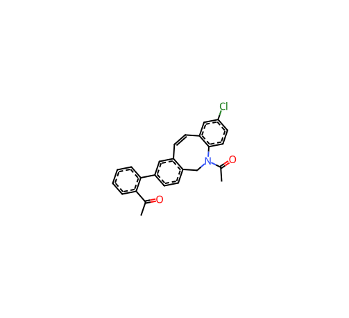 CC(=O)c1ccccc1-c1ccc2c(c1)C=Cc1cc(Cl)ccc1N(C(C)=O)C2